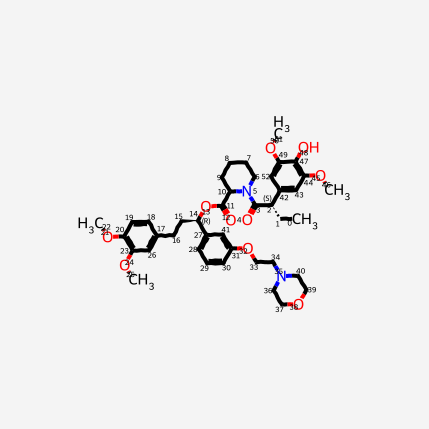 CC[C@H](C(=O)N1CCCCC1C(=O)O[C@H](CCc1ccc(OC)c(OC)c1)c1cccc(OCCN2CCOCC2)c1)c1cc(OC)c(O)c(OC)c1